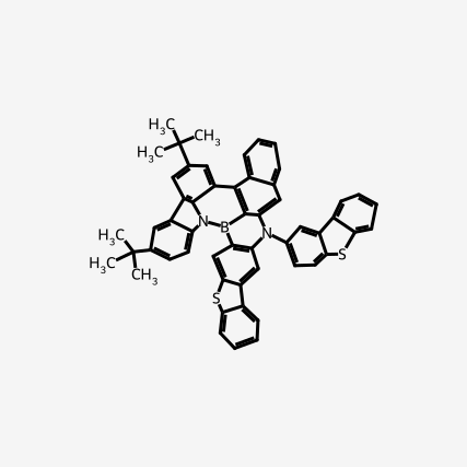 CC(C)(C)c1ccc2c(c1)c1cc(C(C)(C)C)cc3c1n2B1c2cc4sc5ccccc5c4cc2N(c2ccc4sc5ccccc5c4c2)c2cc4ccccc4c-3c21